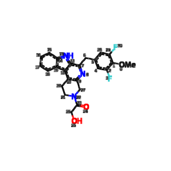 COc1c(F)cc(Cc2nc3c(c4c2[nH]c2ccccc24)CCN(C(=O)CO)C3)cc1F